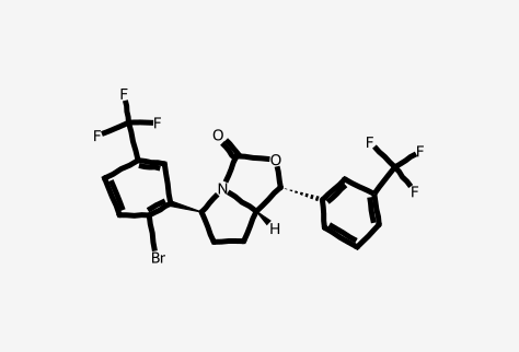 O=C1O[C@H](c2cccc(C(F)(F)F)c2)[C@@H]2CC[C@@H](c3cc(C(F)(F)F)ccc3Br)N12